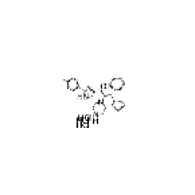 Cc1ccc(-c2nc(C(O)C(C(c3ccccc3)c3ccccc3)N3CCNCC3)c[nH]2)cc1.Cl.Cl.Cl